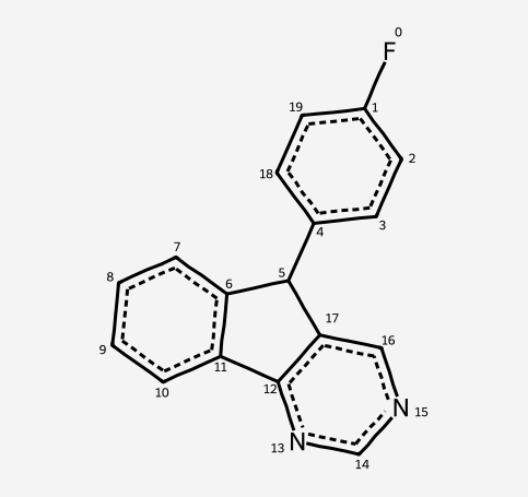 Fc1ccc(C2c3ccccc3-c3ncncc32)cc1